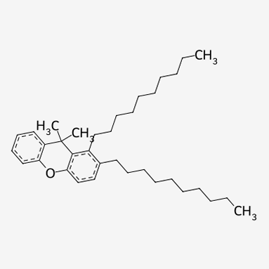 CCCCCCCCCCc1ccc2c(c1CCCCCCCCCC)C(C)(C)c1ccccc1O2